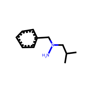 CC(C)CN(N)Cc1ccccc1